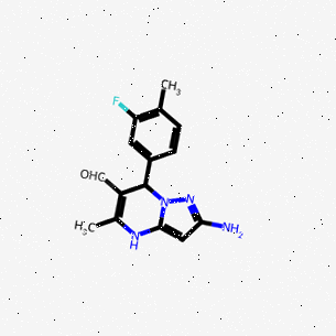 CC1=C(C=O)C(c2ccc(C)c(F)c2)n2nc(N)cc2N1